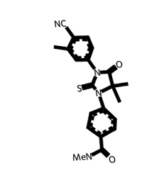 CNC(=O)c1ccc(N2C(=S)N(c3ccc(C#N)c(C)c3)C(=O)C2(C)C)cc1